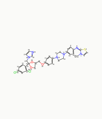 CCn1ccs/c1=N/c1ccc(N2CCN(c3ccc(OCC4COC(Cn5ccnc5)(c5ccc(Cl)cc5Cl)O4)cc3)CC2)cc1